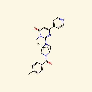 Cc1ccc(C(=O)N2C[C@@H]3CC2CN3c2nc(-c3ccncc3)cc(=O)n2C)cc1